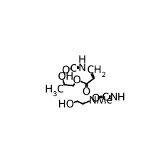 C=CC(=O)OCC(C)O.CNCCO.N=C=O.N=C=O